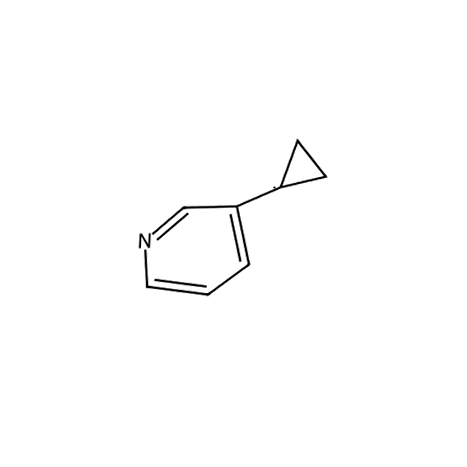 c1cncc([C]2CC2)c1